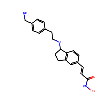 NCc1ccc(CCNC2CCc3cc(C=CC(=O)NO)ccc32)cc1